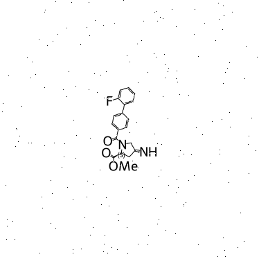 COC(=O)[C@@H]1CC(=N)CN1C(=O)c1ccc(-c2ccccc2F)cc1